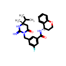 CC(C)[C@]1(C)CC(=O)N(Cc2cc(F)cc(C(=O)N[C@H]3CCOc4ccccc43)c2)C(=N)N1